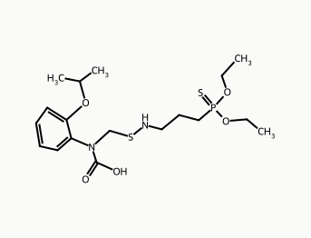 CCOP(=S)(CCCNSCN(C(=O)O)c1ccccc1OC(C)C)OCC